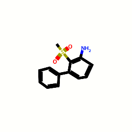 CS(=O)(=O)c1c(N)cccc1-c1ccccc1